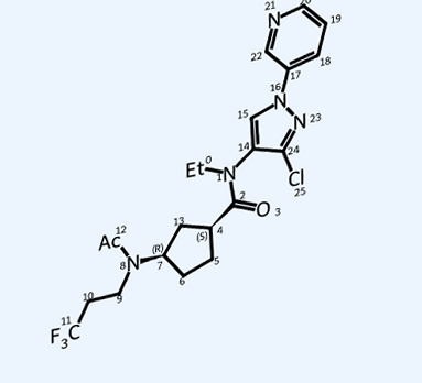 CCN(C(=O)[C@H]1CC[C@@H](N(CCC(F)(F)F)C(C)=O)C1)c1cn(-c2cccnc2)nc1Cl